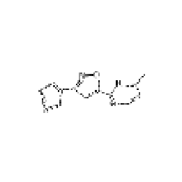 Cc1ccnc(-c2cc(-c3cccnc3)no2)n1